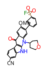 COc1cc2c(=O)c3c4ccc(C#N)cc4[nH]c3n(C3CCOCC3)c2cc1-c1cccc(S(=O)(=O)F)c1